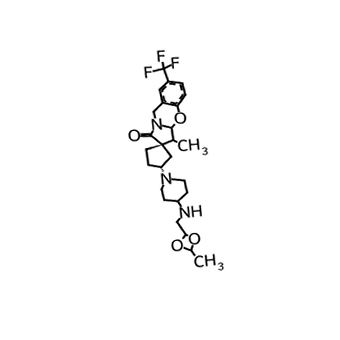 CC1OC(CNC2CCN([C@@H]3CC[C@@]4(C3)C(=O)N3Cc5cc(C(F)(F)F)ccc5OC3C4C)CC2)O1